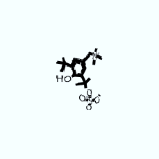 CC(C)(C)c1cc(C[N+](C)(C)C)cc(C(C)(C)C)c1O.COS(=O)(=O)[O-]